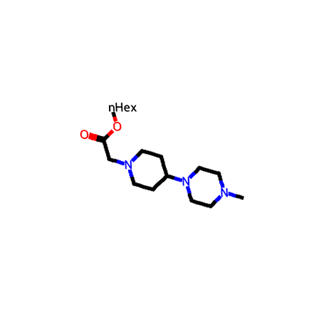 CCCCCCOC(=O)CN1CCC(N2CCN(C)CC2)CC1